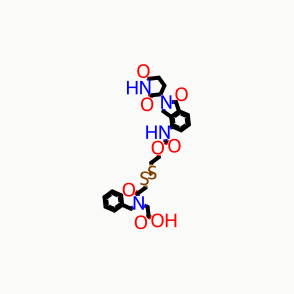 O=C(O)CN(Cc1ccccc1)C(=O)CSSCCOC(=O)Nc1cccc2c1CN(C1CCC(=O)NC1=O)C2=O